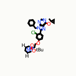 CC(C)(C)OC(=O)N1[C@@H]2C[C@H]1CN(CCOc1ccc(-c3nc4c(OC5(C)CC5)ncnc4n3Cc3ccccc3)c(Cl)c1)C2